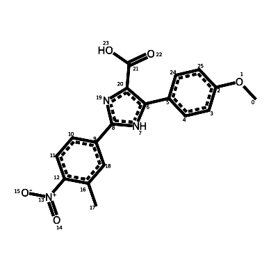 COc1ccc(-c2[nH]c(-c3ccc([N+](=O)[O-])c(C)c3)nc2C(=O)O)cc1